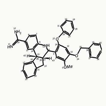 COc1cc(C2Nc3ccc(C(=N)N)cc3[C@H]3c4ccccc4C[C@@H]23)c(Oc2ccccc2)cc1OCc1ccccc1